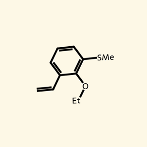 C=Cc1cccc(SC)c1OCC